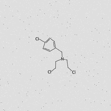 ClCCN(CCCl)Cc1ccc(Cl)cc1